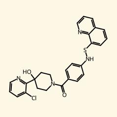 O=C(c1ccc(NSc2cccc3cccnc23)cc1)N1CCC(O)(c2ncccc2Cl)CC1